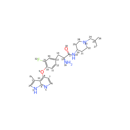 Cc1c[nH]c2nccc(Oc3ccc(C[C@H](N)C(=O)NC4CCN(CC(C)C)CC4)cc3F)c12